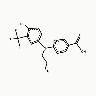 CCCN(c1ccc(C)c(C(F)(F)F)c1)c1ccc(C(=O)O)cn1